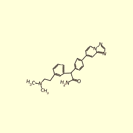 CN(C)CCc1cccc(C(C(N)=O)c2ccc(-c3ccn4ncnc4c3)cc2)c1